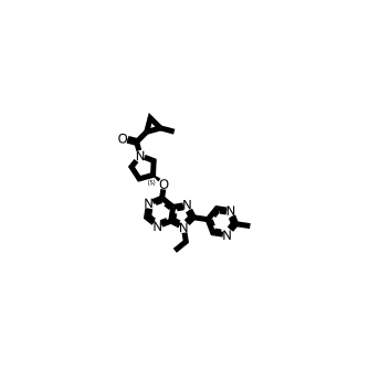 CCn1c(-c2cnc(C)nc2)nc2c(O[C@H]3CCN(C(=O)C4CC4C)C3)ncnc21